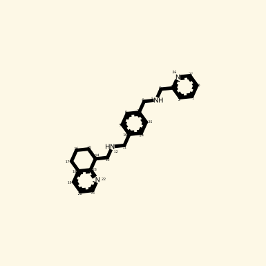 c1ccc(CNCc2ccc(CNCC3CCCc4cccnc43)cc2)nc1